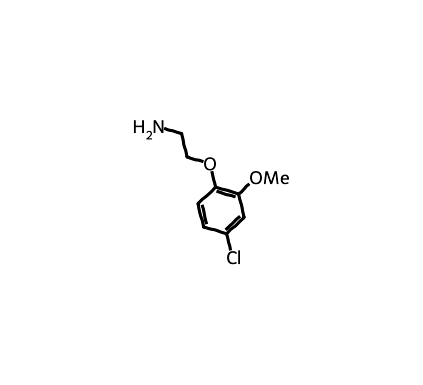 COc1cc(Cl)ccc1OCCN